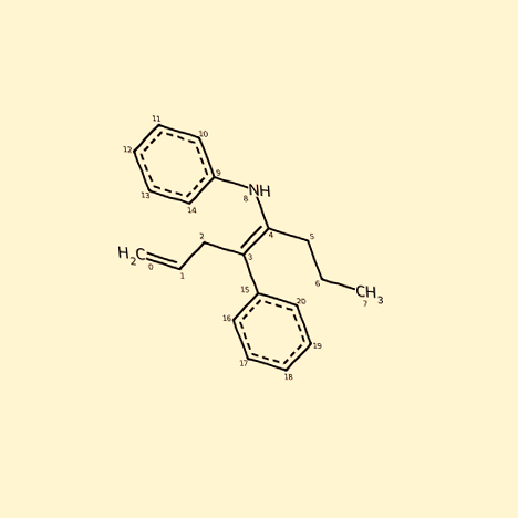 C=CCC(=C(CCC)Nc1ccccc1)c1ccccc1